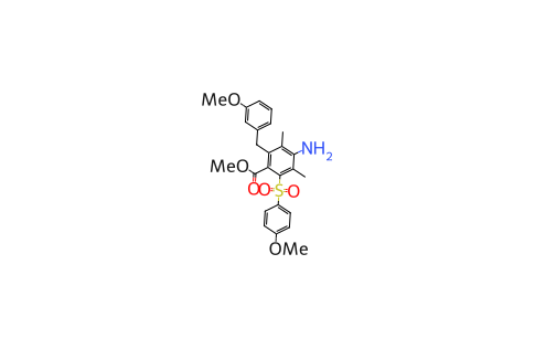 COC(=O)c1c(Cc2cccc(OC)c2)c(C)c(N)c(C)c1S(=O)(=O)c1ccc(OC)cc1